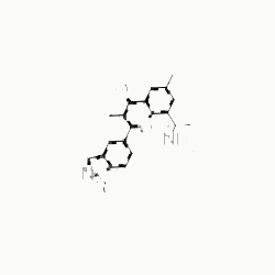 Cc1cc([C@@H](C)N)c2oc(-c3ccc4c(cnn4C)c3)c(C)c(=O)c2c1